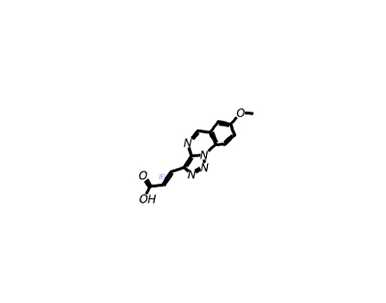 COc1ccc2c(cnc3c(/C=C/C(=O)O)nnn32)c1